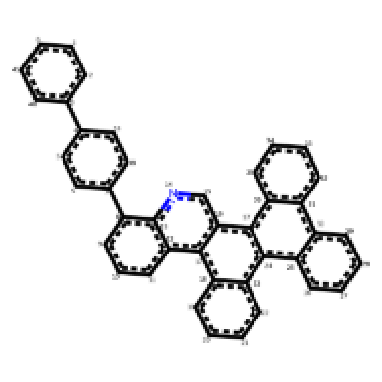 c1ccc(-c2ccc(-c3cccc4c3ncc3c4c4ccccc4c4c5ccccc5c5ccccc5c34)cc2)cc1